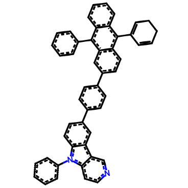 C1=CC(c2c3ccccc3c(-c3ccccc3)c3cc(-c4ccc(-c5ccc6c(c5)c5cnccc5n6-c5ccccc5)cc4)ccc23)=CCC1